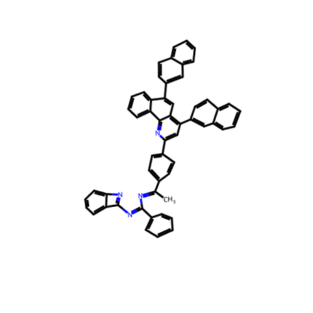 C/C(=N\C(=N/C1=Nc2ccccc21)c1ccccc1)c1ccc(-c2cc(-c3ccc4ccccc4c3)c3cc(-c4ccc5ccccc5c4)c4ccccc4c3n2)cc1